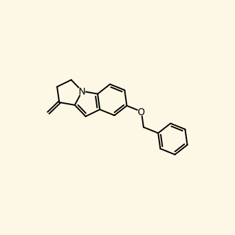 C=C1CCn2c1cc1cc(OCc3ccccc3)ccc12